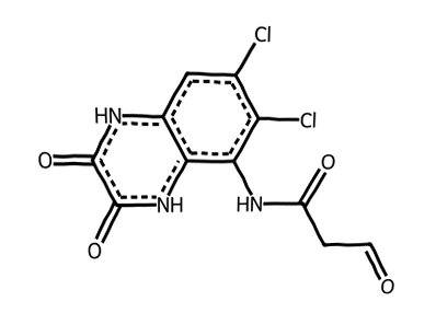 O=CCC(=O)Nc1c(Cl)c(Cl)cc2[nH]c(=O)c(=O)[nH]c12